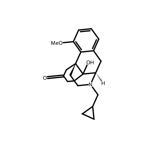 COc1cccc2c1[C@]13CCN(CC4CC4)[C@H](C2)C1(O)CCC(=O)C3